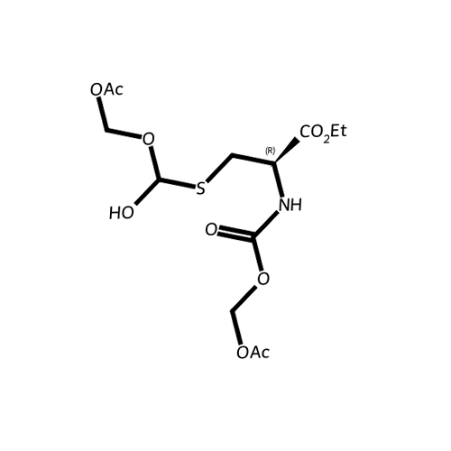 CCOC(=O)[C@H](CSC(O)OCOC(C)=O)NC(=O)OCOC(C)=O